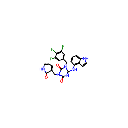 O=c1[nH]cccc1Cn1c(=O)nc(Nc2cccc3[nH]ccc23)n(Cc2cc(F)c(F)c(F)c2)c1=O